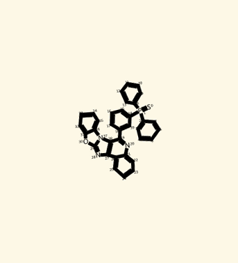 S=P(c1ccccc1)(c1ccccc1)c1cccc(-c2nc3ccccc3c3nc4oc5ccccc5n4c23)c1